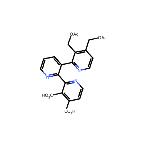 CC(=O)OCc1ccnc(-c2cccnc2-c2nccc(C(=O)O)c2C(=O)O)c1COC(C)=O